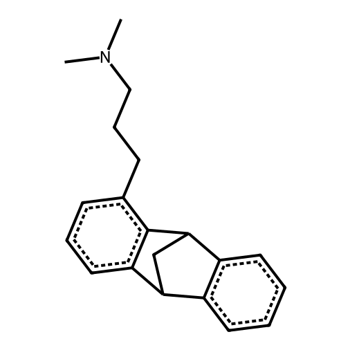 CN(C)CCCc1cccc2c1C1CC2c2ccccc21